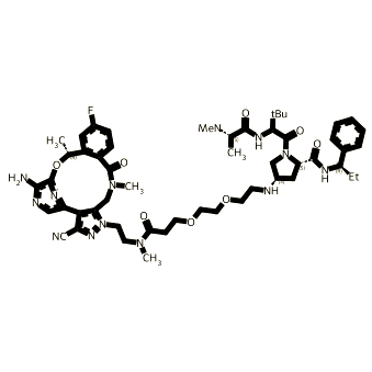 CC[C@@H](NC(=O)[C@@H]1C[C@H](NCCOCCOCCC(=O)N(C)CCn2nc(C#N)c3c2CN(C)C(=O)c2ccc(F)cc2[C@@H](C)Oc2nc-3cnc2N)CN1C(=O)C(NC(=O)[C@H](C)NC)C(C)(C)C)c1ccccc1